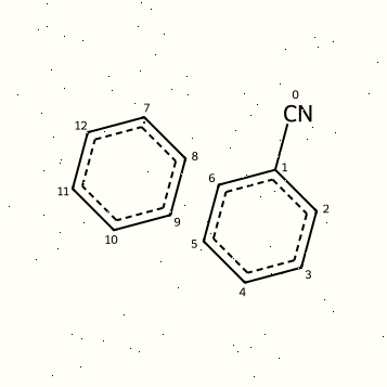 N#Cc1ccccc1.[c]1ccccc1